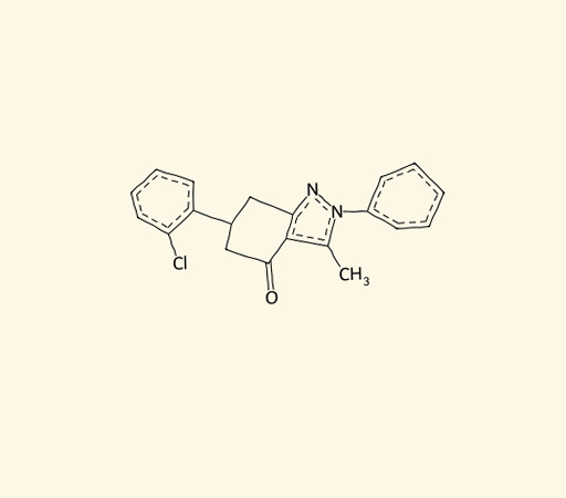 Cc1c2c(nn1-c1ccccc1)CC(c1ccccc1Cl)CC2=O